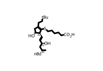 CCCC[C@@H](C)C[C@H](O)C=C[C@@H]1C(SCCCCCC(=O)O)=C(CCC(C)(C)C)C[C@H]1O